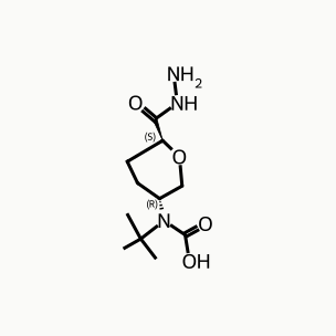 CC(C)(C)N(C(=O)O)[C@@H]1CC[C@@H](C(=O)NN)OC1